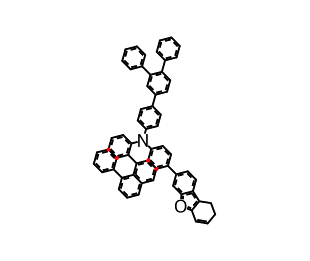 C1=Cc2oc3cc(-c4ccc(N(c5ccc(-c6ccc(-c7ccccc7)c(-c7ccccc7)c6)cc5)c5ccccc5-c5cccc6cccc(-c7ccccc7)c56)cc4)ccc3c2CC1